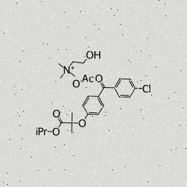 CC(=O)[O-].CC(C)OC(=O)C(C)(C)Oc1ccc(C(=O)c2ccc(Cl)cc2)cc1.C[N+](C)(C)CCO